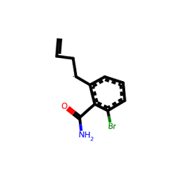 C=CC[CH]c1cccc(Br)c1C(N)=O